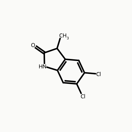 CC1C(=O)Nc2cc(Cl)c(Cl)cc21